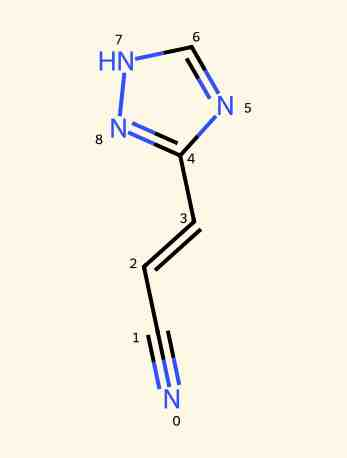 N#CC=Cc1nc[nH]n1